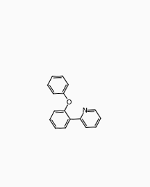 c1ccc(Oc2ccccc2-c2ccccn2)cc1